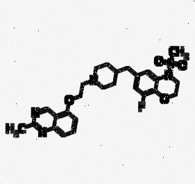 Cc1ncc2c(OCCN3CCC(Cc4cc(F)c5c(c4)N(S(C)(=O)=O)CCO5)CC3)cccc2n1